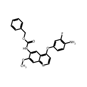 COc1cc2nccc(Oc3ccc(N)c(F)c3)c2cc1NC(=O)OCc1ccccc1